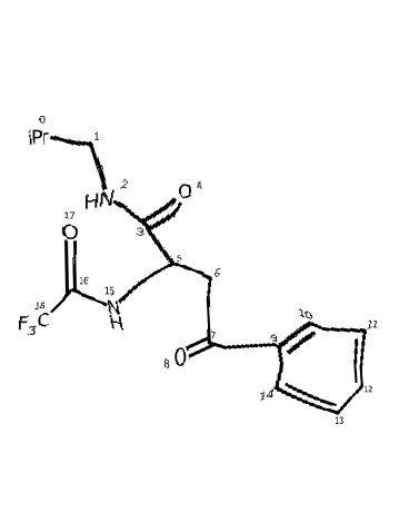 CC(C)CNC(=O)C(CC(=O)c1ccccc1)NC(=O)C(F)(F)F